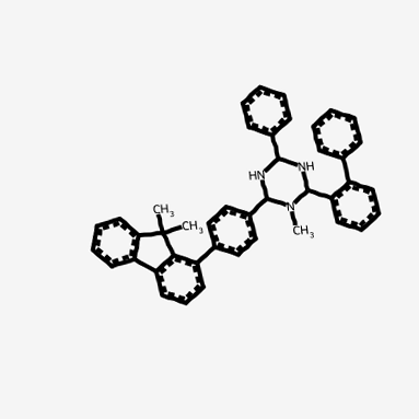 CN1C(c2ccc(-c3cccc4c3C(C)(C)c3ccccc3-4)cc2)NC(c2ccccc2)NC1c1ccccc1-c1ccccc1